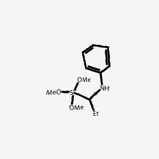 CCC(Nc1ccccc1)[Si](OC)(OC)OC